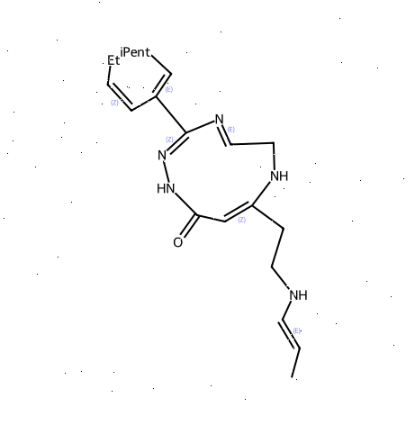 C/C=C/NCC/C1=C/C(=O)N/N=C(C(/C=C\CC)=C/C(C)CCC)\N=C\CN1